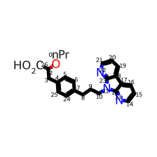 CCCOC(Cc1ccc(CCCn2c3ncccc3c3cccnc32)cc1)C(=O)O